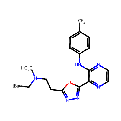 CC(C)(C)CN(CCc1nnc(-c2nccnc2Nc2ccc(C(F)(F)F)cc2)o1)C(=O)O